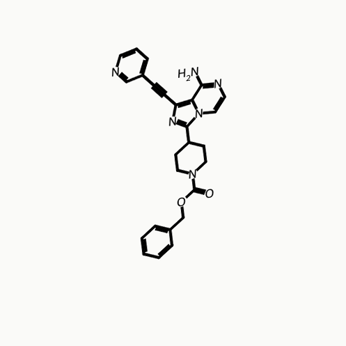 Nc1nccn2c(C3CCN(C(=O)OCc4ccccc4)CC3)nc(C#Cc3cccnc3)c12